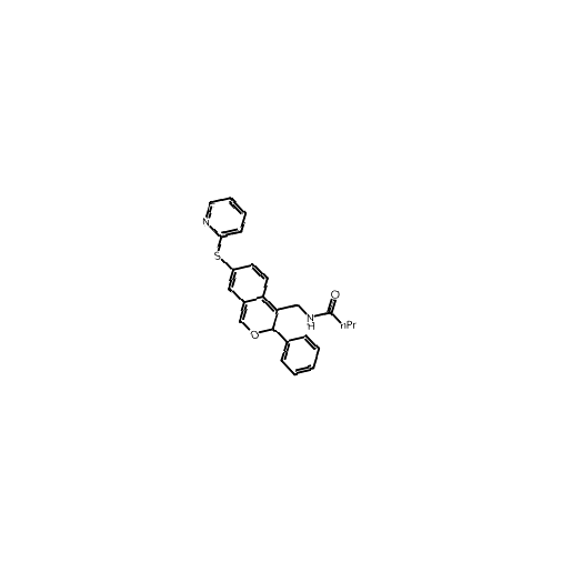 CCCC(=O)NCC1=c2ccc(Sc3ccccn3)cc2=COC1c1ccccc1